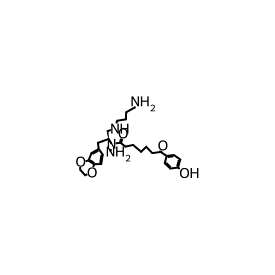 NCCCCNC[C@H](Cc1ccc2c(c1)OCCO2)N(N)C(=O)CCCCCC(=O)c1ccc(O)cc1